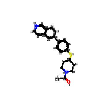 CCC(=O)N1CCC(Sc2ccc(-c3ccc4cnccc4c3)cc2)CC1